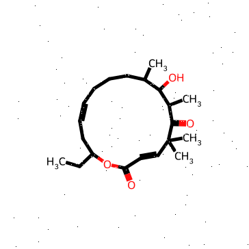 CCC1CC=CCCCC(C)C(O)C(C)C(=O)C(C)(C)/C=C/C(=O)O1